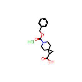 Cl.O=C(O)C1CC12CCN(C(=O)OCc1ccccc1)CC2